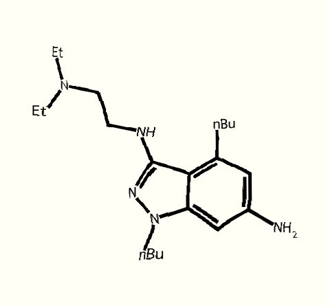 CCCCc1cc(N)cc2c1c(NCCN(CC)CC)nn2CCCC